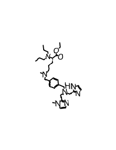 CCCN(CCC)[C@H](CCCN(C)Cc1ccc(CN(Cc2ncc[nH]2)Cc2nccn2C)cc1)C(=O)OCC